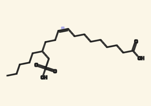 CCCCCC(CC/C=C\CCCCCCCC(=O)O)CS(=O)(=O)O